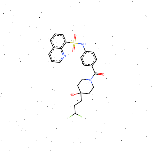 O=C(c1ccc(NS(=O)(=O)c2cccc3cccnc23)cc1)N1CCC(O)(CCC(F)F)CC1